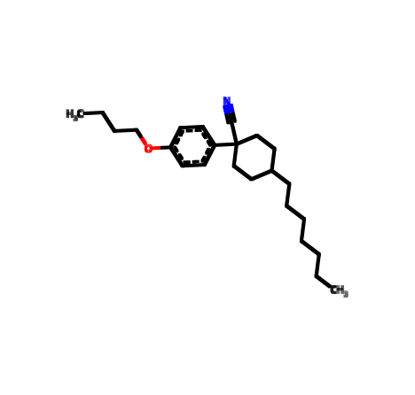 CCCCCCCC1CCC(C#N)(c2ccc(OCCCC)cc2)CC1